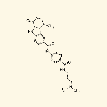 CC1CNC(=O)C2Nc3ccc(C(=O)Nc4ccc(C(=O)NCCCN(C)C)nc4)cc3C12